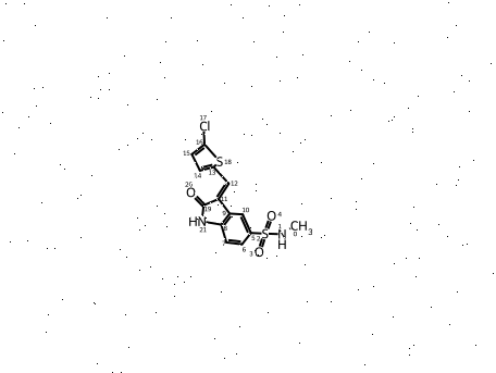 CNS(=O)(=O)c1ccc2c(c1)C(=Cc1ccc(Cl)s1)C(=O)N2